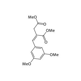 COC(=O)CC(=Cc1cc(OC)cc(OC)c1)C(=O)OC